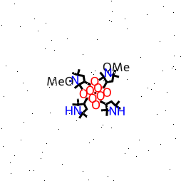 CON1C(C)(C)CC(C(=O)OC(OC(=O)C2CC(C)(C)NC2(C)C)(OC(=O)C2CC(C)(C)NC2(C)C)OC(=O)C2CC(C)(C)N(OC)C2(C)C)C1(C)C